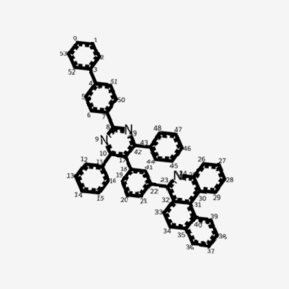 c1ccc(-c2ccc(-c3nc(-c4ccccc4)c(-c4cccc(-c5nc6ccccc6c6c5ccc5ccccc56)c4)c(-c4ccccc4)n3)cc2)cc1